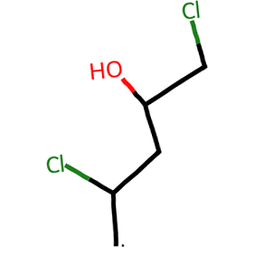 [CH2]C(Cl)CC(O)CCl